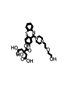 O=C(O)CC(O)(CC(=O)O)C(=O)O.OCCOCCN1CCN(C2=Nc3ccccc3Sc3ccccc32)CC1